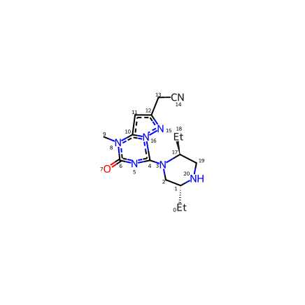 CC[C@@H]1CN(c2nc(=O)n(C)c3cc(CC#N)nn23)[C@@H](CC)CN1